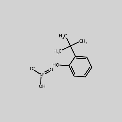 CC(C)(C)c1ccccc1O.O=[N+]([O-])O